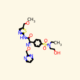 CCN(CCO)S(=O)(=O)c1ccc(/C(=N\OCc2ncccn2)C(=O)Nc2ncc(COC)s2)cc1